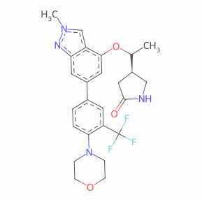 CC(Oc1cc(-c2ccc(N3CCOCC3)c(C(F)(F)F)c2)cc2nn(C)cc12)[C@H]1CNC(=O)C1